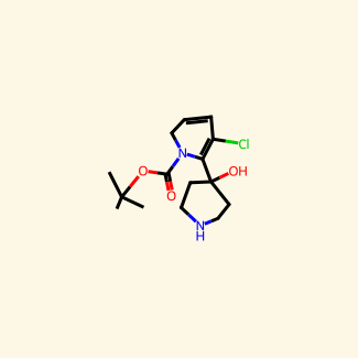 CC(C)(C)OC(=O)N1CC=CC(Cl)=C1C1(O)CCNCC1